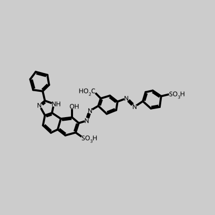 O=C(O)c1cc(/N=N/c2ccc(S(=O)(=O)O)cc2)ccc1/N=N/c1c(S(=O)(=O)O)cc2ccc3nc(-c4ccccc4)[nH]c3c2c1O